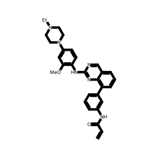 C=CC(=O)Nc1cccc(-c2cccc3cnc(Nc4ccc(N5CCN(CC)CC5)cc4OC)nc23)c1